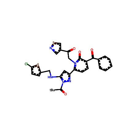 CC(C)(C)C(=O)n1nc(-c2ccc(C(=O)c3ccccc3)c(=O)n2CC(=O)c2cnsc2)cc1NCc1ccc(Cl)s1